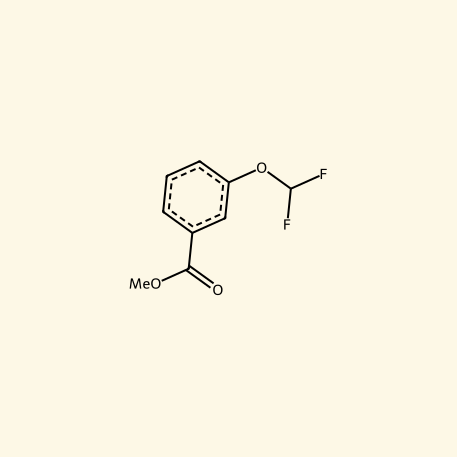 COC(=O)c1cccc(OC(F)F)c1